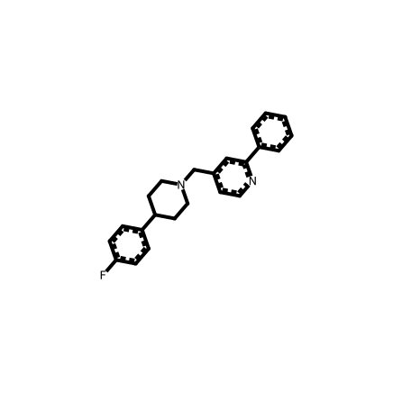 Fc1ccc(C2CCN(Cc3ccnc(-c4ccccc4)c3)CC2)cc1